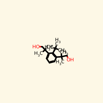 CC(C)(C)c1c(C(C)(C)CO)cccc1C(C)(C)CO